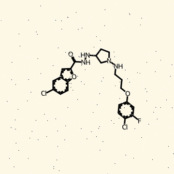 O=C(NNC1CCN(NCCCOc2ccc(Cl)c(F)c2)C1)c1cc2cc(Cl)ccc2o1